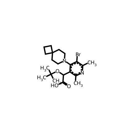 Cc1nc(C)c(C(OC(C)(C)C)C(=O)O)c(N2CCC3(CCC3)CC2)c1Br